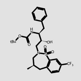 C[C@@H]1Cc2ccc(C(F)(F)F)cc2S(=O)(=O)N(C[C@@H](O)[C@H](Cc2ccccc2)NC(=O)OC(C)(C)C)C1